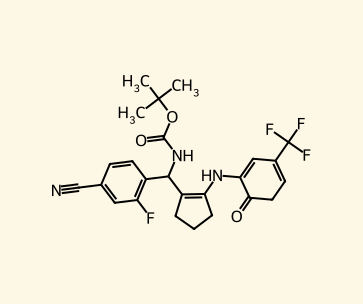 CC(C)(C)OC(=O)NC(C1=C(NC2=CC(C(F)(F)F)=CCC2=O)CCC1)c1ccc(C#N)cc1F